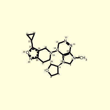 CN1CN([C@H]2CCOC2)C2=C1N=NCN2N1CCc2noc(C3CC3)c2C1